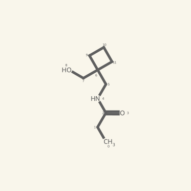 CCC(=O)NCC1(CO)CCC1